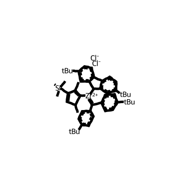 CC1=[C]([Zr+2](=[C](c2ccc(C(C)(C)C)cc2)c2ccc(C(C)(C)C)cc2)[CH]2c3cc(C(C)(C)C)ccc3-c3ccc(C(C)(C)C)cc32)C(C)C=C1[Si](C)(C)C.[Cl-].[Cl-]